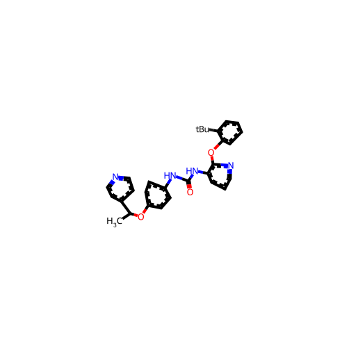 CC(Oc1ccc(NC(=O)Nc2cccnc2Oc2ccccc2C(C)(C)C)cc1)c1ccncc1